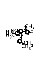 COc1cc(F)ccc1-c1ccc2c3c1CN(c1cccc(C(C)C)c1)C3=CC(C)(C)N2